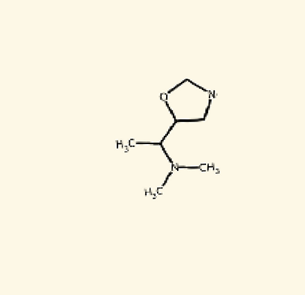 CC(C1C[N]CO1)N(C)C